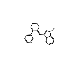 Cn1cc(C=C2CCCN=C2c2cccnc2)c2ccccc21